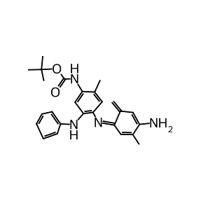 C=C1C=C(N)C(C)=C/C1=N/c1cc(C)c(NC(=O)OC(C)(C)C)cc1Nc1ccccc1